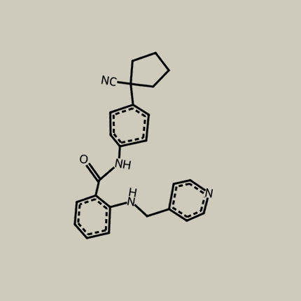 N#CC1(c2ccc(NC(=O)c3ccccc3NCc3ccncc3)cc2)CCCC1